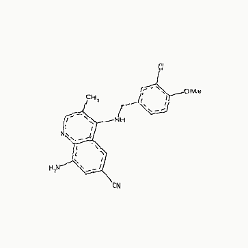 COc1ccc(CNc2c(C)cnc3c(N)cc(C#N)cc23)cc1Cl